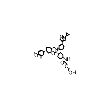 COc1ccc([C@H]2CC[C@H](CN(c3cccc(-c4cnn(C5CC5)c4)c3)C(=O)[C@H]3CC[C@H](NC(=O)COCCO)CC3)CC2)cc1C